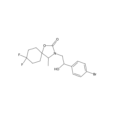 CC1N(CC(O)c2ccc(Br)cc2)C(=O)OC12CCC(F)(F)CC2